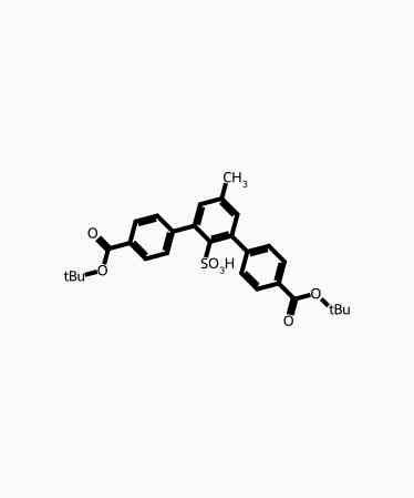 Cc1cc(-c2ccc(C(=O)OC(C)(C)C)cc2)c(S(=O)(=O)O)c(-c2ccc(C(=O)OC(C)(C)C)cc2)c1